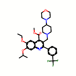 CCOc1cc2c(C(=O)OC)c(CN3CCC(N4CCOCC4)CC3)c(-c3cccc(C(F)(F)F)c3)nc2cc1OC(C)C